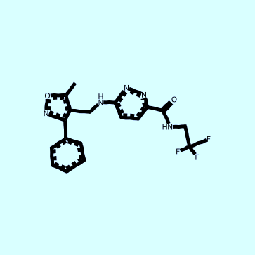 Cc1onc(-c2ccccc2)c1CNc1ccc(C(=O)NCC(F)(F)F)nn1